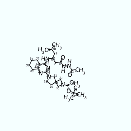 CC(=O)NNC(=O)C[C@H](CC(C)C)Nc1nc(N2CCC3(CN(C(=O)OC(C)(C)C)C3)C2)nc2c1CCCC2